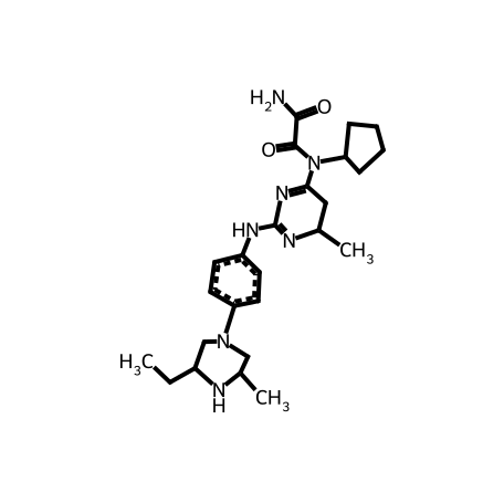 CCC1CN(c2ccc(NC3=NC(C)CC(N(C(=O)C(N)=O)C4CCCC4)=N3)cc2)CC(C)N1